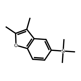 Cc1oc2ccc([Si](C)(C)C)cc2c1C